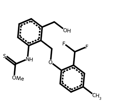 COC(=S)Nc1cccc(CO)c1COc1ccc(C)cc1C(F)F